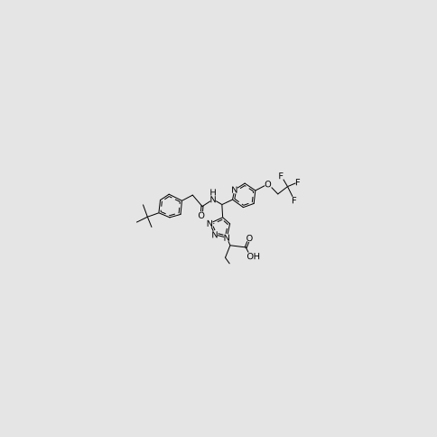 CCC(C(=O)O)n1cc(C(NC(=O)Cc2ccc(C(C)(C)C)cc2)c2ccc(OCC(F)(F)F)cn2)nn1